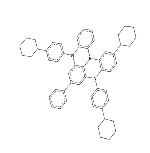 c1ccc(-c2cc3c4c(c2)N(c2ccc(C5CCCCC5)cc2)c2ccc(C5CCCCC5)cc2B4c2ccccc2N3c2ccc(C3CCCCC3)cc2)cc1